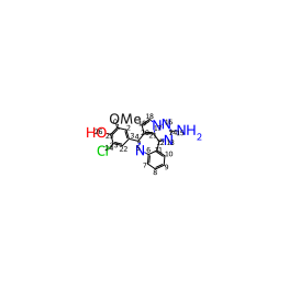 COc1cc(C2=Nc3ccccc3-c3nc(N)nn4ccc2c34)cc(Cl)c1O